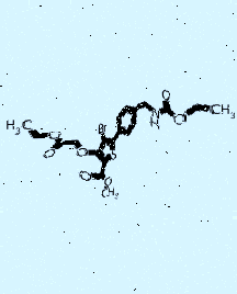 CCOC(=O)COc1c(C(=O)OC)sc(-c2ccc(CNC(=O)OCC)cc2)c1Br